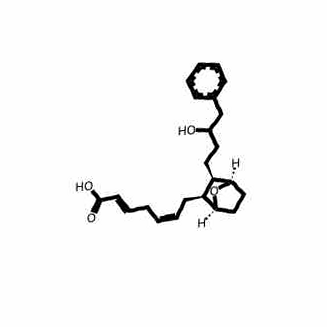 O=C(O)/C=C/C/C=C\C[C@H]1[C@@H](CCC(O)Cc2ccccc2)[C@H]2CC[C@@H]1O2